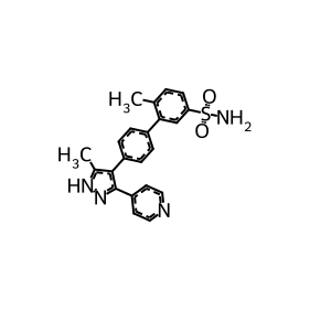 Cc1ccc(S(N)(=O)=O)cc1-c1ccc(-c2c(-c3ccncc3)n[nH]c2C)cc1